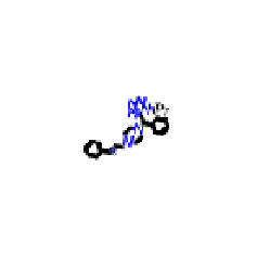 CC(C)n1nnnc1[C@@H](c1ccccc1)N1CCN(C/C=C/c2ccccc2)CC1